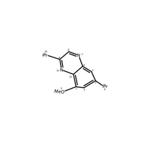 COc1cc(C(C)C)cc2ncc(C(C)C)nc12